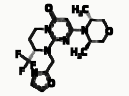 C[C@@H]1COC[C@@H](C)N1c1cc(=O)n2c(n1)N(Cc1ncco1)[C@H](C(F)(F)F)CC2